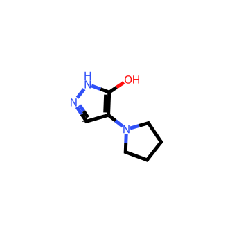 Oc1[nH]n[c]c1N1CCCC1